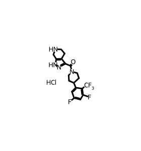 Cl.O=C(c1n[nH]c2c1CCNC2)N1CCC(c2cc(F)cc(F)c2C(F)(F)F)CC1